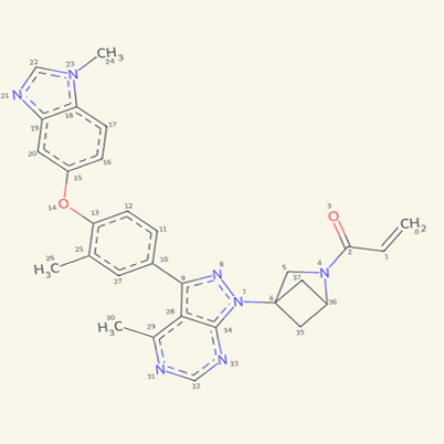 C=CC(=O)N1CC2(n3nc(-c4ccc(Oc5ccc6c(c5)ncn6C)c(C)c4)c4c(C)ncnc43)CC1C2